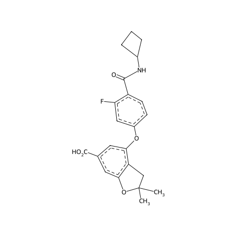 CC1(C)Cc2c(Oc3ccc(C(=O)NC4CCC4)c(F)c3)cc(C(=O)O)cc2O1